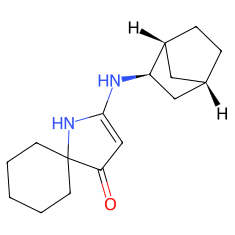 O=C1C=C(N[C@@H]2C[C@H]3CC[C@@H]2C3)NC12CCCCC2